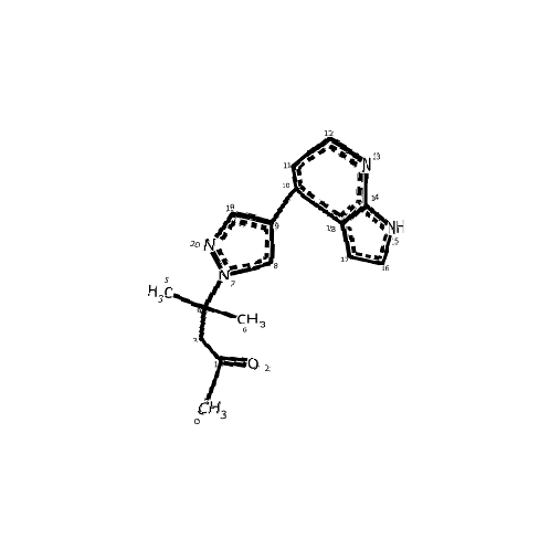 CC(=O)CC(C)(C)n1cc(-c2ccnc3[nH]ccc23)cn1